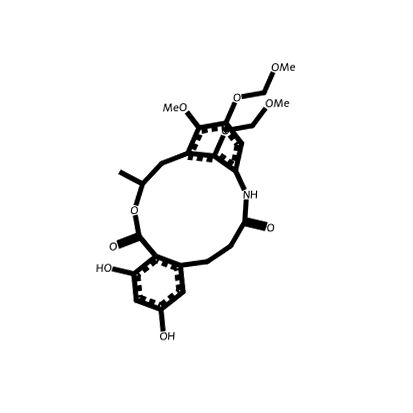 COCOc1cc2c(OCOC)c(c1OC)CC(C)OC(=O)c1c(O)cc(O)cc1CCC(=O)N2